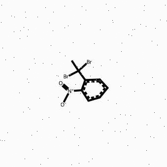 CC(Br)(Br)c1ccccc1[N+](=O)[O-]